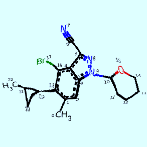 Cc1cc2c(c(C#N)nn2C2CCCCO2)c(Br)c1[C@H]1C[C@H]1C